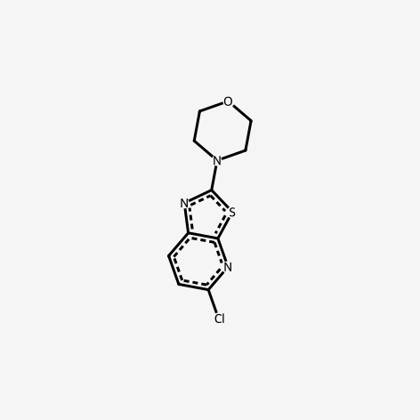 Clc1ccc2nc(N3CCOCC3)sc2n1